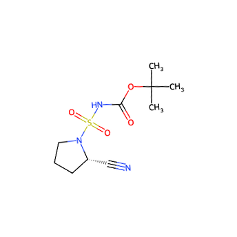 CC(C)(C)OC(=O)NS(=O)(=O)N1CCC[C@H]1C#N